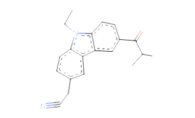 CCn1c2ccc(CC#N)cc2c2cc(C(=O)C(C)C)ccc21